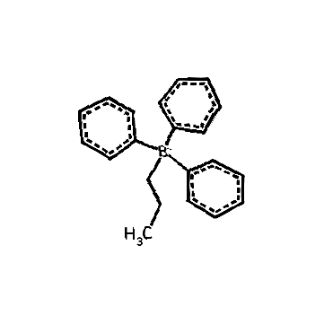 CCC[B-](c1ccccc1)(c1ccccc1)c1ccccc1